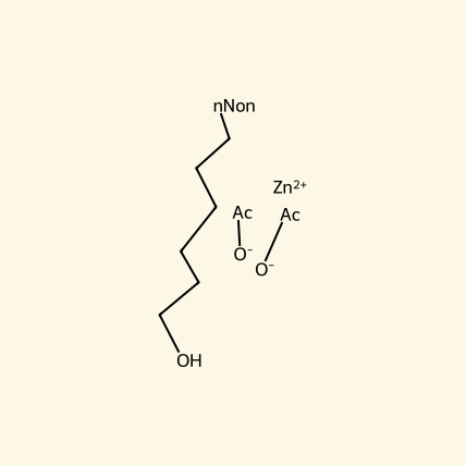 CC(=O)[O-].CC(=O)[O-].CCCCCCCCCCCCCCCO.[Zn+2]